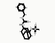 CS(=O)(=O)OC12CC3CC(CC(NC(=O)OCc4ccccc4)(C3)C1)C2